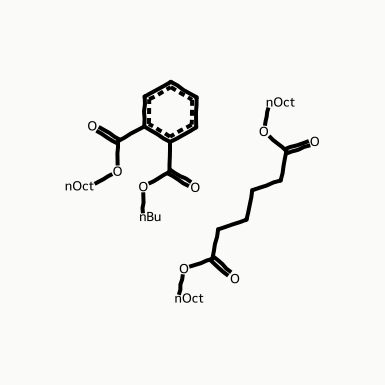 CCCCCCCCOC(=O)CCCCC(=O)OCCCCCCCC.CCCCCCCCOC(=O)c1ccccc1C(=O)OCCCC